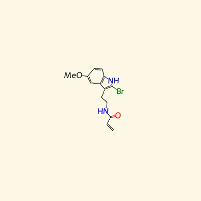 C=CC(=O)NCCc1c(Br)[nH]c2ccc(OC)cc12